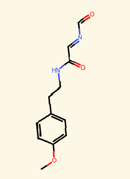 COc1ccc(CCNC(=O)C=N[C]=O)cc1